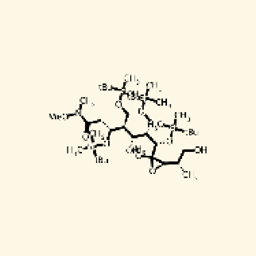 CON(C)C(=O)C[C@@H](O[Si](C)(C)C(C)(C)C)[C@@H](CO[Si](C)(C)C(C)(C)C)[C@@H](O)[C@H](CO[Si](C)(C)C(C)(C)C)[C@H](O[Si](C)(C)C(C)(C)C)C1(C)O[C@@H]1[C@@H](C)CO